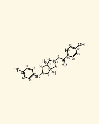 O=C(CN1C[C@H]2CC(Oc3ccc(F)cc3)C[C@H]2C1)c1ccc(O)cn1